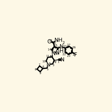 N#C[C@H]1CN(CC2CCC2)CC[C@H]1n1cc(C(N)=O)c(Nc2ccc(F)cc2)n1